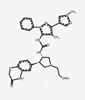 COCCN1C[C@@H](NC(=O)Nc2c(C)c(-c3cnn(C)c3)nn2-c2ccccc2)[C@H](c2ccc3c(c2)NC(=O)CO3)C1